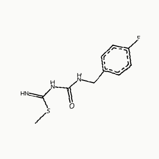 CSC(=N)NC(=O)NCc1ccc(F)cc1